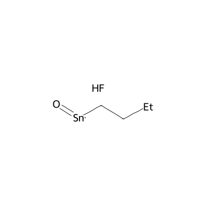 CCC[CH2][Sn]=[O].F